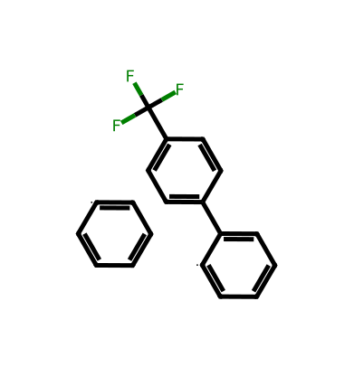 FC(F)(F)c1ccc(-c2[c]cccc2)cc1.[c]1ccccc1